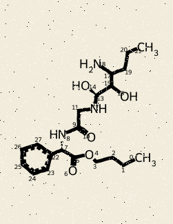 CCCCOC(=O)[C@@H](NC(=O)CN[C@@H](O)C(O)C(N)CCC)c1ccccc1